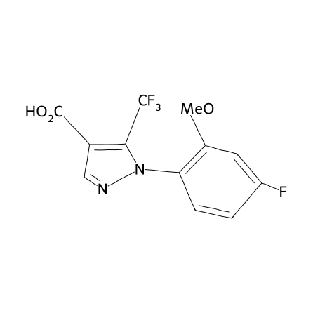 COc1cc(F)ccc1-n1ncc(C(=O)O)c1C(F)(F)F